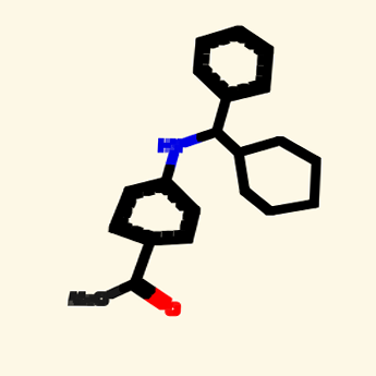 COC(=O)c1ccc(NC(c2ccccc2)C2CCCCC2)cc1